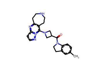 Cc1ccc2c(c1)CCN2C(=O)C1CN(c2c3c(nc4ccnn24)CCNCC3)C1